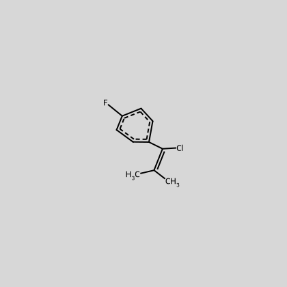 CC(C)=C(Cl)c1ccc(F)cc1